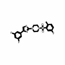 Cc1ccc(F)cc1S(=O)(=O)N1CCN(c2nc(-c3cc(F)cc(F)c3)cs2)CC1